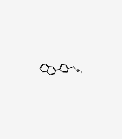 NCc1ccc(-c2[c]c3ccccc3cc2)cc1